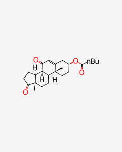 CCCCC(=O)O[C@H]1CC[C@@]2(C)C(=CC(=O)[C@@H]3[C@@H]2CC[C@]2(C)C(=O)CC[C@@H]32)C1